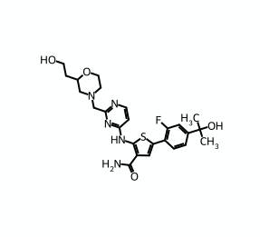 CC(C)(O)c1ccc(-c2cc(C(N)=O)c(Nc3ccnc(CN4CCOC(CCO)C4)n3)s2)c(F)c1